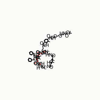 Cc1c(C(=O)NCCCC2CN3CCNC(=O)c4ccc(c(C)c4C)C(=O)NCCN(CCNC(=O)c4ccc(c(C)c4C)C(=O)NCC3)CCNC(=O)c3ccc(c(OCc4ccccc4)c3OCc3ccccc3)C(=O)N2)ccc(C(=O)NCCOCCOCCNC(=O)OC(C)(C)C)c1C